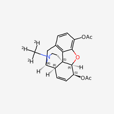 [2H]C([2H])([2H])N1CC[C@]23c4c5ccc(OC(C)=O)c4O[C@H]2[C@@H](OC(C)=O)C=C[C@H]3[C@H]1C5